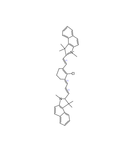 CN1c2ccc3ccccc3c2C(C)(C)C1/C=C/C=C1\CCCC(/C=C/C2=[N+](C)c3ccc4ccccc4c3C2(C)C)=C1Cl